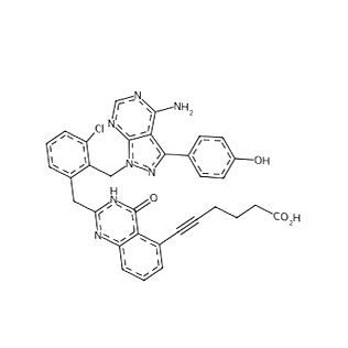 Nc1ncnc2c1c(-c1ccc(O)cc1)nn2Cc1c(Cl)cccc1Cc1nc2cccc(C#CCCCC(=O)O)c2c(=O)[nH]1